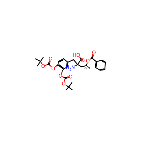 C[C@@H](CC(N)(Cc1ccc(OC(=O)OC(C)(C)C)c(OC(=O)OC(C)(C)C)c1)C(=O)O)OC(=O)c1ccccc1